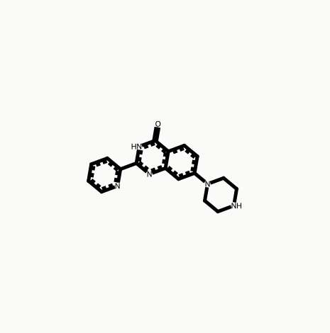 O=c1[nH]c(-c2ccccn2)nc2cc(N3CCNCC3)ccc12